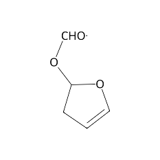 O=[C]OC1CC=CO1